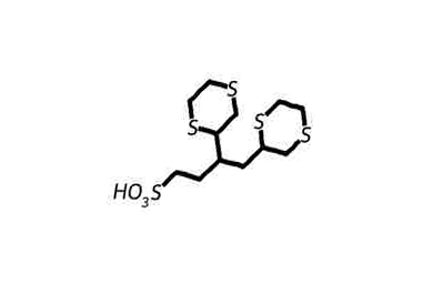 O=S(=O)(O)CCC(CC1CSCCS1)C1CSCCS1